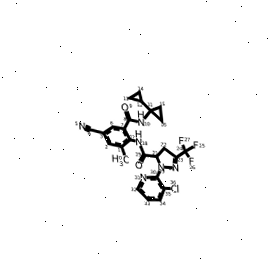 Cc1cc(C#N)cc(C(=O)NC2(C3CC3)CC2)c1NC(=O)C1CC(C(F)(F)F)=NN1c1ncccc1Cl